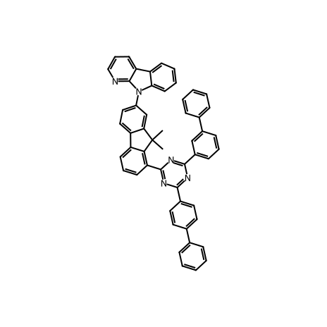 CC1(C)c2cc(-n3c4ccccc4c4cccnc43)ccc2-c2cccc(-c3nc(-c4ccc(-c5ccccc5)cc4)nc(-c4cccc(-c5ccccc5)c4)n3)c21